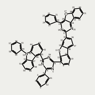 c1ccc(-c2nc(-c3cccc4c3sc3cc(-c5nc(-c6ccccc6)c6oc7ccccc7c6n5)ccc34)nc(-c3cccc4c3c3ccccc3n4-c3ccccc3)n2)cc1